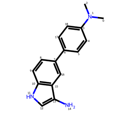 CN(C)c1ccc(-c2ccc3[nH]cc(N)c3c2)cc1